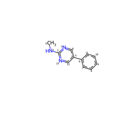 CNc1ncc(-c2ccccc2)cn1